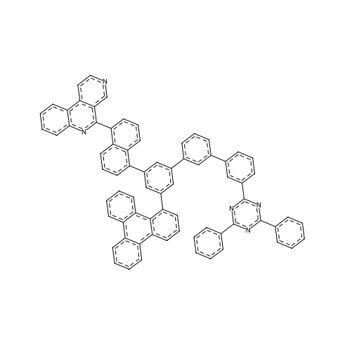 c1ccc(-c2nc(-c3ccccc3)nc(-c3cccc(-c4cccc(-c5cc(-c6cccc7c(-c8nc9ccccc9c9ccncc89)cccc67)cc(-c6cccc7c8ccccc8c8ccccc8c67)c5)c4)c3)n2)cc1